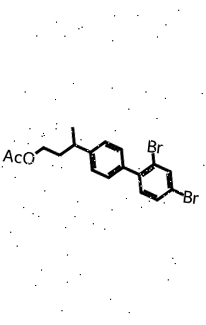 CC(=O)OCCC(C)c1ccc(-c2ccc(Br)cc2Br)cc1